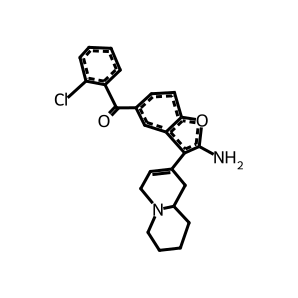 Nc1oc2ccc(C(=O)c3ccccc3Cl)cc2c1C1=CCN2CCCCC2C1